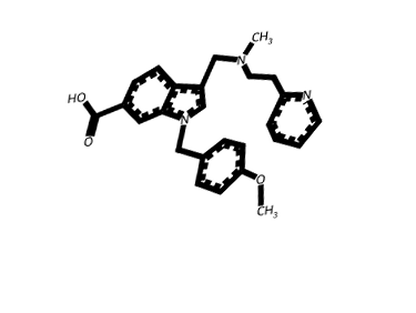 COc1ccc(Cn2cc(CN(C)CCc3ccccn3)c3ccc(C(=O)O)cc32)cc1